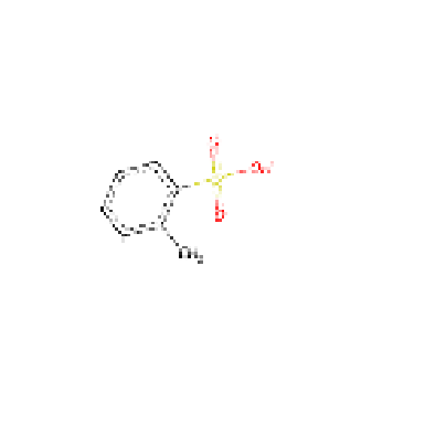 Cc1[c]cccc1S(=O)(=O)O